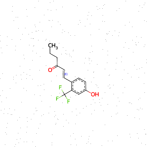 CCCC(=O)/C=C/c1ccc(O)cc1C(F)(F)F